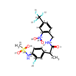 CC(C(=O)NCc1ccc(C(F)(F)F)cc1[N+](=O)[O-])c1ccc(NS(C)(=O)=O)c(F)c1